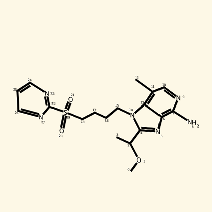 COC(C)c1nc2c(N)ncc(C)c2n1CCCCS(=O)(=O)c1ncccn1